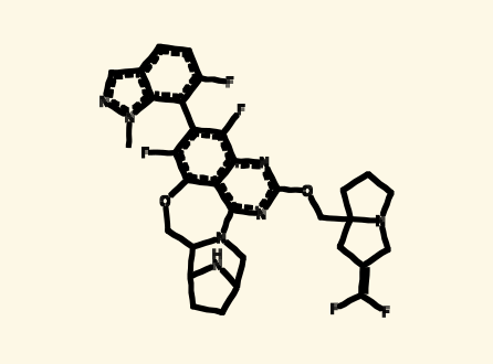 Cn1ncc2ccc(F)c(-c3c(F)c4c5c(nc(OCC67CCCN6CC(=C(F)F)C7)nc5c3F)N3CC5CCC(N5)C3CO4)c21